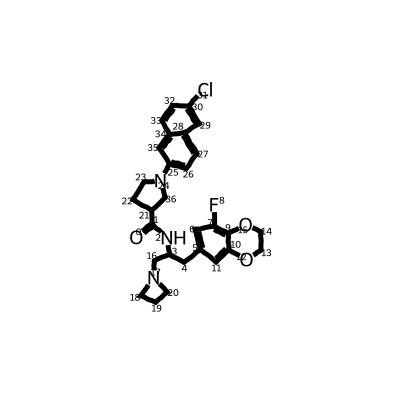 O=C(NC(Cc1cc(F)c2c(c1)OCCO2)CN1CCC1)C1CCN(c2ccc3cc(Cl)ccc3c2)C1